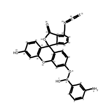 Nc1cccc(B(O)Oc2ccc3c(c2)Oc2cc(O)ccc2C32OC(=O)c3c(N=C=S)cccc32)c1